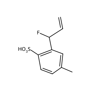 C=CC(F)c1cc(C)ccc1S(=O)(=O)O